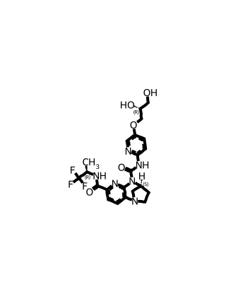 C[C@@H](NC(=O)c1ccc2c(n1)N(C(=O)Nc1ccc(OC[C@H](O)CO)cn1)[C@H]1CCN2C1)C(F)(F)F